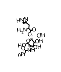 CCCC(=O)N[C@H]1C(O)O[C@H](COC(=O)C(N)Cc2c[nH]cn2)[C@@H](O)[C@@H]1O.Cl